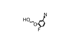 N#Cc1ccc(F)c(OCCO)c1